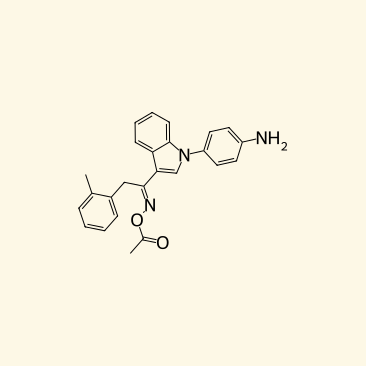 CC(=O)O/N=C(\Cc1ccccc1C)c1cn(-c2ccc(N)cc2)c2ccccc12